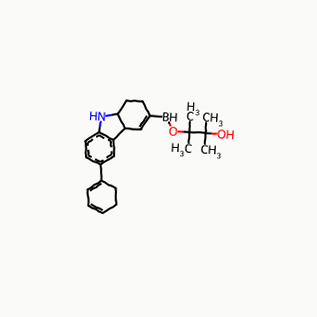 CC(C)(O)C(C)(C)OBC1=CC2c3cc(C4=CC=CCC4)ccc3NC2CC1